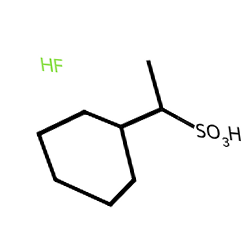 CC(C1CCCCC1)S(=O)(=O)O.F